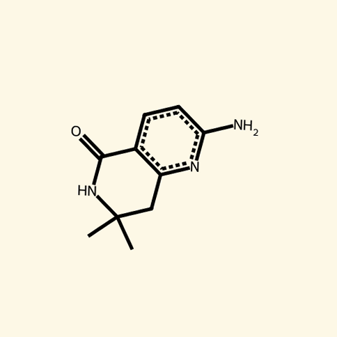 CC1(C)Cc2nc(N)ccc2C(=O)N1